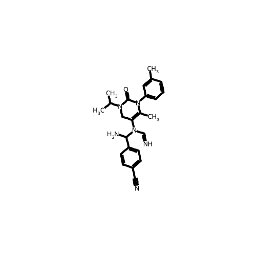 CC1=C(N(C=N)C(N)c2ccc(C#N)cc2)CN(C(C)C)C(=O)N1c1cccc(C)c1